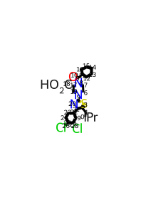 CC(C)Cc1sc(N2CCN(C(=O)c3ccccc3)C(C(=O)O)C2)nc1-c1ccc(Cl)c(Cl)c1